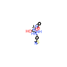 Cc1ncsc1-c1ccc(CNC(=N)[C@@H]2C[C@@H](O)CN2C(=O)[C@H](C(C)C)N2Cc3ccccc3C2=O)cc1